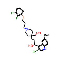 COc1ccc2ncc(Cl)c([C@H](O)CCC3(CO)CCN(CCCSc4cccc(F)c4F)CC3)c2c1